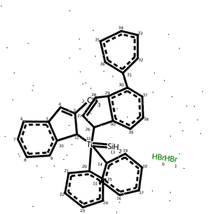 Br.Br.CC1=Cc2ccccc2[CH]1[Ti](=[SiH2])([c]1ccccc1)([c]1ccccc1)[CH]1C=Cc2c(-c3ccccc3)cccc21